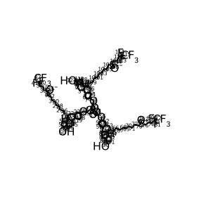 C[C@]12CCC3c4ccc(OCOP(=O)(OCOc5ccc6c(c5)C[C@@H](CCCCCCCCC[S+]([O-])CCCC(F)(F)C(F)(F)F)[C@@H]5C6CC[C@]6(C)[C@@H](O)CC[C@@H]56)OCOc5ccc6c(c5)C[C@@H](CCCCCCCCC[S+]([O-])CCCC(F)(F)C(F)(F)F)[C@@H]5C6CC[C@]6(C)[C@@H](O)CC[C@@H]56)cc4C[C@@H](CCCCCCCCC[S+]([O-])CCCC(F)(F)C(F)(F)F)[C@H]3[C@@H]1CC[C@@H]2O